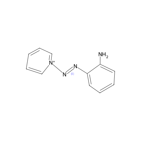 Nc1ccccc1/N=N/[n+]1ccccc1